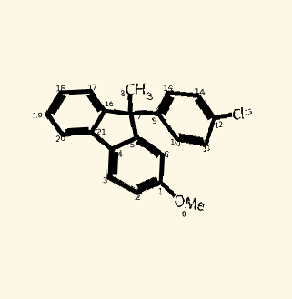 COc1ccc2c(c1)C(C)(c1ccc(Cl)cc1)c1ccccc1-2